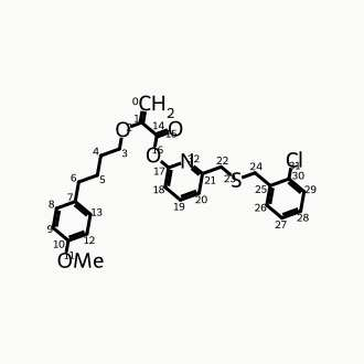 C=C(OCCCCc1ccc(OC)cc1)C(=O)Oc1cccc(CSCc2ccccc2Cl)n1